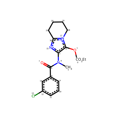 CCOC(=O)Oc1c(N(C)C(=O)c2cccc(Cl)c2)nc2n1CCCC2